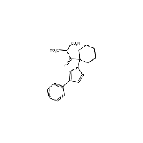 O=C(O)C(C(=O)O)C(=O)C1(n2ccc(-c3ccccc3)c2)CCCCC1